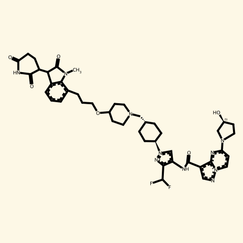 CN1C(=O)C(C2CCC(=O)NC2=O)c2cccc(CCCOC3CCN(C[C@H]4CC[C@H](n5cc(NC(=O)c6cnn7ccc(N8CC[C@H](O)C8)nc67)c(C(F)F)n5)CC4)CC3)c21